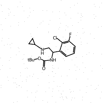 CC(C)(C)OC(=O)NC(CNC1CC1)c1cccc(F)c1Cl